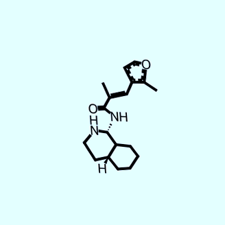 CC(=Cc1ccoc1C)C(=O)N[C@H]1NCC[C@H]2CCCCC21